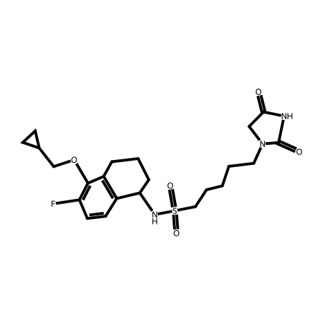 O=C1CN(CCCCCS(=O)(=O)NC2CCCc3c2ccc(F)c3OCC2CC2)C(=O)N1